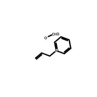 C=CC[n+]1ccccc1.O=C[O-]